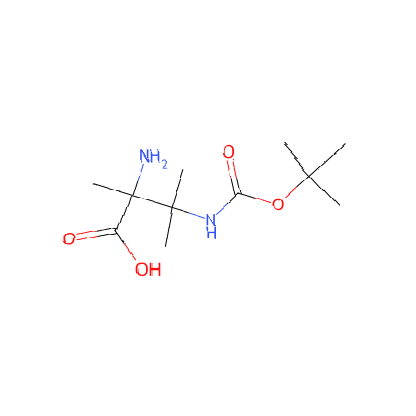 CC(C)(C)OC(=O)NC(C)(C)C(C)(N)C(=O)O